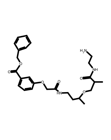 CC(CCNC(=O)COc1cccc(C(=O)OCc2ccccc2)c1)OCC(C)C(=O)NCCN